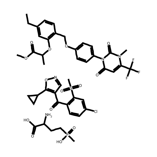 CCc1ccc(COc2ccc(-n3c(=O)cc(C(F)(F)F)n(C)c3=O)cc2)c(OC(C)C(=O)OC)c1.CP(=O)(O)CCC(N)C(=O)O.CS(=O)(=O)c1cc(Cl)ccc1C(=O)c1cnoc1C1CC1